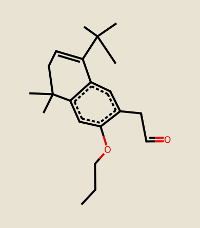 CCCOc1cc2c(cc1CC=O)C(C(C)(C)C)=CCC2(C)C